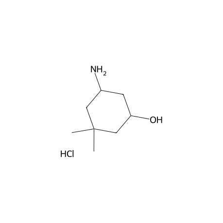 CC1(C)CC(N)CC(O)C1.Cl